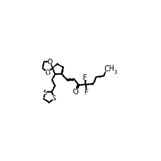 CCCCC(F)(F)C(=O)/C=C/C1CCC2(OCCO2)C1CCC1SCCS1